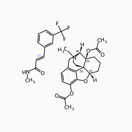 CC(=O)Oc1ccc2c3c1O[C@H]1CCC[C@@]4(OC(C)=O)[C@@H](C2)N(C)CC[C@]314.CNC(=O)/C=C/c1cccc(C(F)(F)F)c1